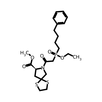 CCOP(=O)(CCCCc1ccccc1)CC(=O)N1CC2(C[C@H]1C(=O)OC)SCCS2